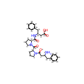 N[C@H](CC(=O)N1CCC[C@H]1C(=O)N1CCC[C@H]1C(=O)N[C@H](CC(=O)O)Cc1ccccc1)Cc1ccccc1